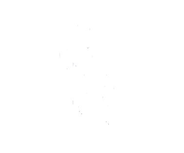 C=C1C=C(C(=Cc2ccccc2)N(C)C)OC(C)=C1CC(C#N)C#N